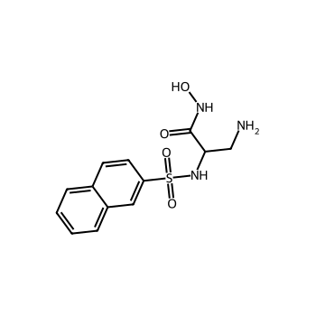 NCC(NS(=O)(=O)c1ccc2ccccc2c1)C(=O)NO